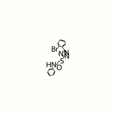 Cn1c(SCC(=O)Nc2ccccc2)nnc1-c1ccccc1Br